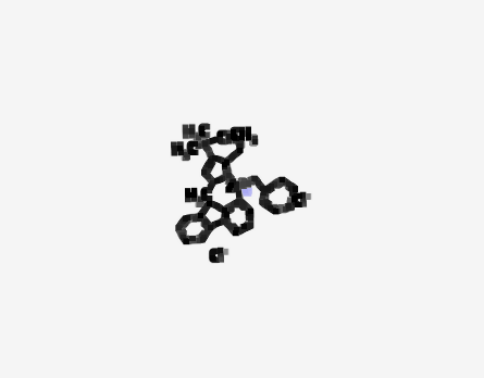 CCC1=[C](/[Zr+2](=[CH]/c2ccccc2)[c]2cccc3c2Cc2ccccc2-3)C(C)C=C1C(C)(C)C.[Cl-].[Cl-]